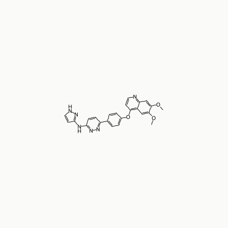 COc1cc2nccc(Oc3ccc(-c4ccc(Nc5cc[nH]n5)nn4)cc3)c2cc1OC